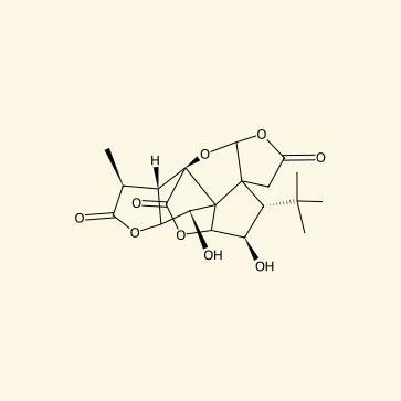 C[C@@H]1C(=O)OC2[C@H]1[C@@]13OC4OC(=O)CC45[C@H](C(C)(C)C)[C@@H](O)C(OC1=O)C53[C@H]2O